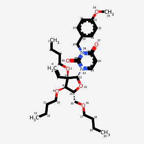 C=C[C@@]1(OCCCC)[C@H](OCCCC)[C@@H](COCCCC)O[C@H]1n1ccc(=O)n(Cc2ccc(OC)cc2)c1=O